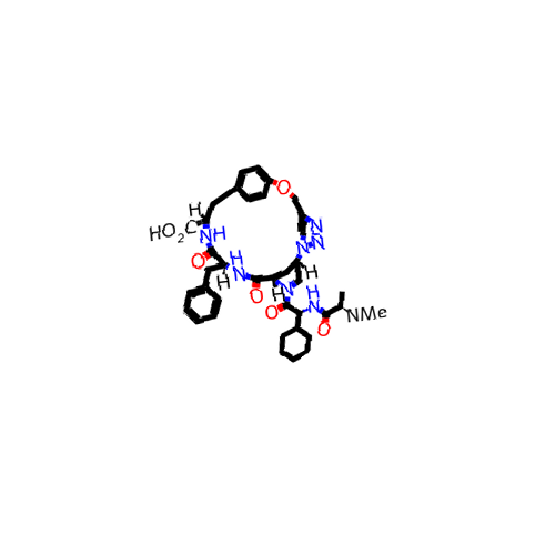 CN[C@@H](C)C(=O)N[C@H](C(=O)N1C[C@@H]2C[C@H]1C(=O)N[C@@H](Cc1ccccc1)C(=O)N[C@H](C(=O)O)Cc1ccc(cc1)OCc1cn2nn1)C1CCCCC1